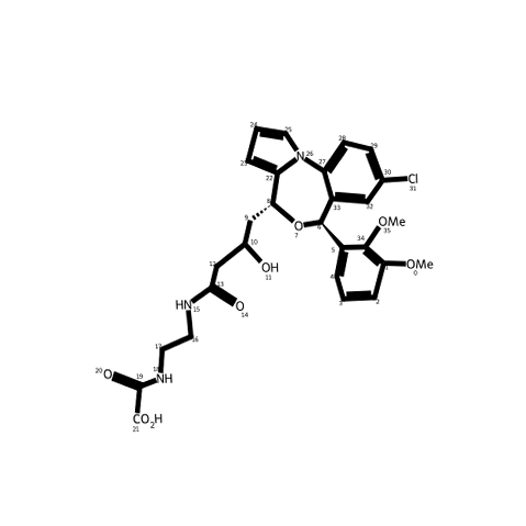 COc1cccc([C@H]2O[C@H](CC(O)CC(=O)NCCNC(=O)C(=O)O)c3cccn3-c3ccc(Cl)cc32)c1OC